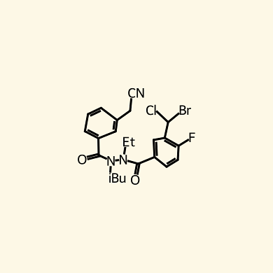 CCC(C)N(C(=O)c1cccc(CC#N)c1)N(CC)C(=O)c1ccc(F)c(C(Cl)Br)c1